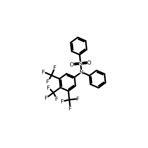 O=S(=O)(c1ccccc1)N(c1ccccc1)c1cc(C(F)(F)F)c(C(F)(F)F)c(C(F)(F)F)c1